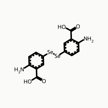 Nc1ccc([Se][Se]c2ccc(N)c(C(=O)O)c2)cc1C(=O)O